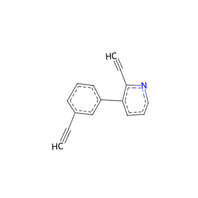 C#Cc1cccc(-c2cccnc2C#C)c1